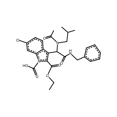 CCOC(=O)c1c(C(C(=O)NCc2ccccc2)N(CC(C)C)C(C)=O)c2ccc(Cl)cc2n1C(=O)O